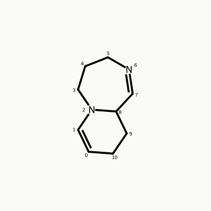 C1=CN2CCCN=CC2CC1